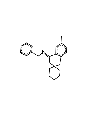 Cc1ccc2c(c1)C(=NCc1ccccc1)CC1(CCCCC1)C2